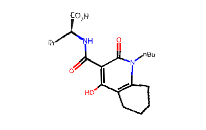 CCCCn1c2c(c(O)c(C(=O)N[C@H](C(=O)O)C(C)C)c1=O)CCCC2